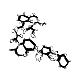 CC1COc2ccccc2N1C(=O)C(Cl)Cl.CCc1cccc(CC)c1N(COC)C(=O)CCl.Nc1c([N+](=O)[O-])ccc(Oc2ccccc2)c1Cl